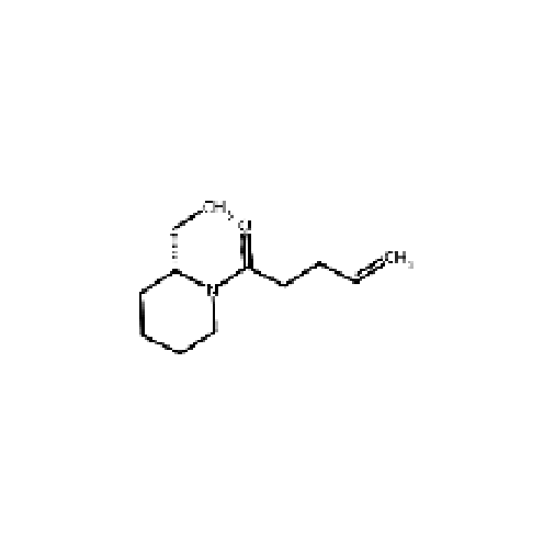 C=CCCC(=O)N1CCCC[C@@H]1CC